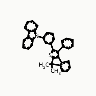 CC1(C)c2ccccc2-c2c1sc(-c1cccc(-n3c4ccccc4c4ccccc43)c1)c2-c1ccccc1